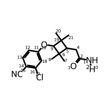 [2H]NC(=O)CC1C(C)(C)C(Oc2ccc(C#N)c(Cl)c2)C1(C)C